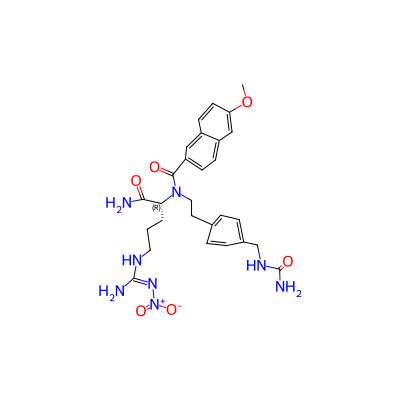 COc1ccc2cc(C(=O)N(CCc3ccc(CNC(N)=O)cc3)[C@H](CCCNC(N)=N[N+](=O)[O-])C(N)=O)ccc2c1